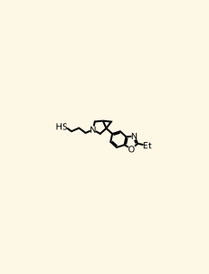 CCc1nc2cc(C34CC3CN(CCCS)C4)ccc2o1